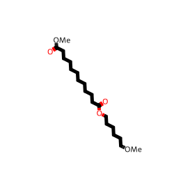 COCCCCCCOC(=O)CCCCCCCCCCC(=O)OC